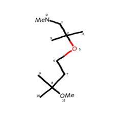 CNCC(C)(C)OCCC(C)(C)OC